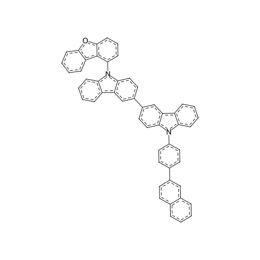 c1ccc2cc(-c3ccc(-n4c5ccccc5c5cc(-c6ccc7c(c6)c6ccccc6n7-c6cccc7oc8ccccc8c67)ccc54)cc3)ccc2c1